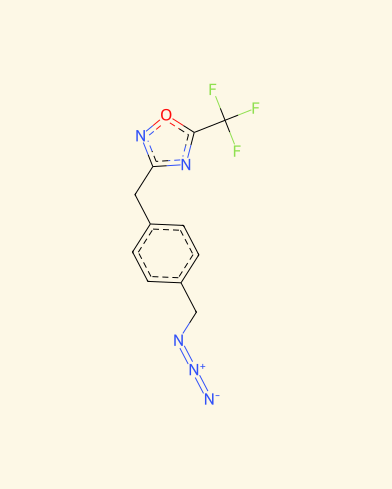 [N-]=[N+]=NCc1ccc(Cc2noc(C(F)(F)F)n2)cc1